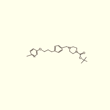 Cc1ccc(OCCCc2ccc(CN3CCN(C(=O)OC(C)(C)C)CC3)cc2)cn1